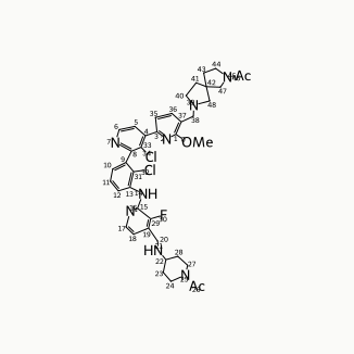 COc1nc(-c2ccnc(-c3cccc(Nc4nccc(CNC5CCN(C(C)=O)CC5)c4F)c3Cl)c2Cl)ccc1CN1CCC2(CCN(C(C)=O)C2)C1